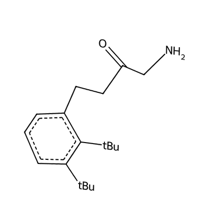 CC(C)(C)c1cccc(CCC(=O)CN)c1C(C)(C)C